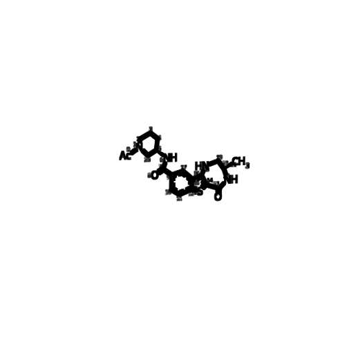 CC(=O)N1CCC[C@@H](NC(=O)c2ccc3sc4c(c3c2)NC[C@@H](C)NC4=O)C1